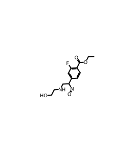 CCOC(=O)c1ccc(C(CNCCO)N=O)cc1F